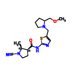 COCC1CCCN1Cc1cnc(NC(=O)[C@H]2CCN(C#N)[C@H]2C)s1